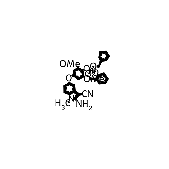 COc1cc(Oc2ccc3c(c2)c(C#N)c(N)n3C)cc(OC)c1OP(=O)(OCc1ccccc1)OCc1ccccc1